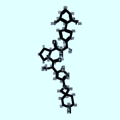 CC(C)[C@@H](C(=O)N1CCC[C@H]1C(=O)N[C@@H](C)c1ccc(-c2c(F)cccc2F)cc1)c1cc(N2CC3(CCNCC3)C2)no1